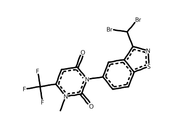 Cn1c(C(F)(F)F)cc(=O)n(-c2ccc3snc(C(Br)Br)c3c2)c1=O